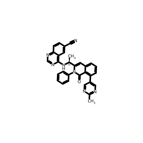 Cc1ncc(-c2cccc3cc([C@H](C)Nc4ncnc5ccc(C#N)cc45)n(-c4ccccc4)c(=O)c23)cn1